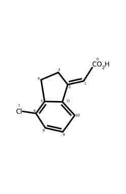 O=C(O)/C=C1\CCc2c(Cl)cccc21